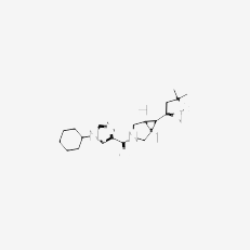 CC1(C)CC(C2[C@H]3CN(C(=O)c4cn(C5CCCCC5)cn4)C[C@@H]23)=NO1